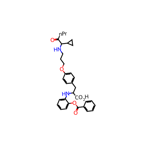 CCCC(=O)C(NCCCOc1ccc(CC(Nc2ccccc2OC(=O)c2ccccc2)C(=O)O)cc1)C1CC1